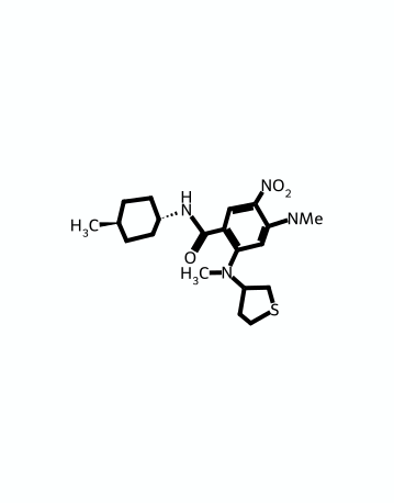 CNc1cc(N(C)C2CCSC2)c(C(=O)N[C@H]2CC[C@H](C)CC2)cc1[N+](=O)[O-]